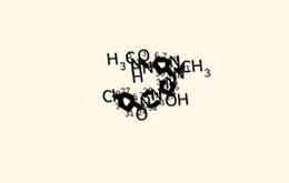 CNC(=O)Nc1ccc2nc(C)nc(N3C[C@H](O)[C@@H](N4CCN(C(=O)c5ccc(Cl)cc5)CC4)C3)c2c1